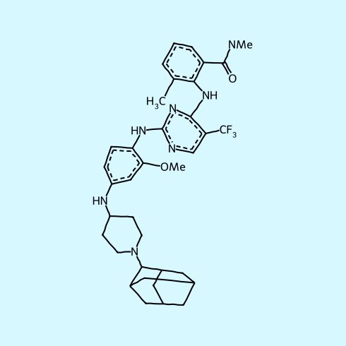 CNC(=O)c1cccc(C)c1Nc1nc(Nc2ccc(NC3CCN(C4C5CC6CC(C5)CC4C6)CC3)cc2OC)ncc1C(F)(F)F